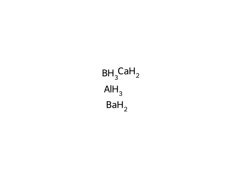 B.[AlH3].[BaH2].[CaH2]